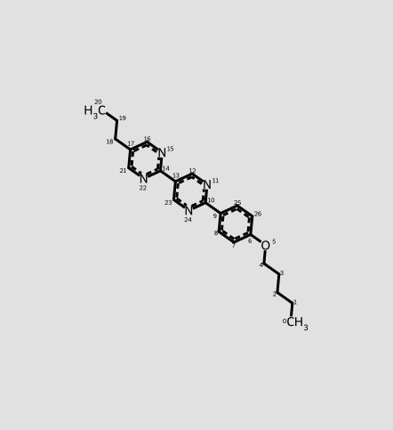 CCCCCOc1ccc(-c2ncc(-c3ncc(CCC)cn3)cn2)cc1